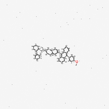 COc1ccc(-c2c3ccccc3c(-c3ccc4cc(C(C)Cc5ccccc5-c5ccccc5C)ccc4c3)c3ccccc23)cc1